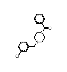 O=C(c1[c]cccc1)N1CCN(Cc2cccc(Cl)c2)CC1